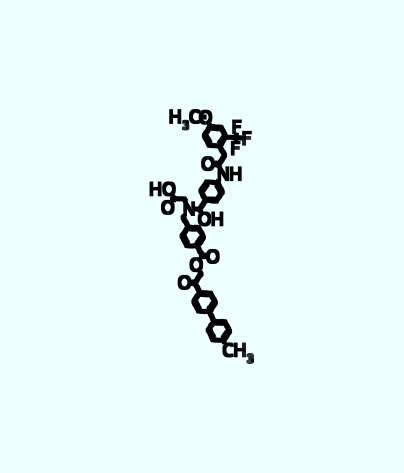 COc1ccc(CC(=O)Nc2ccc(C(O)N(CC(=O)O)Cc3ccc(C(=O)OCC(=O)c4ccc(-c5ccc(C)cc5)cc4)cc3)cc2)c(C(F)(F)F)c1